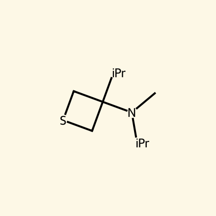 CC(C)N(C)C1(C(C)C)CSC1